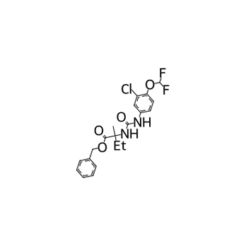 CCC(C)(NC(=O)Nc1ccc(OC(F)F)c(Cl)c1)C(=O)OCc1ccccc1